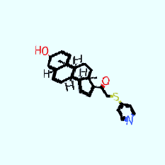 C[C@]12CC[C@@H](O)C[C@H]1CC[C@@H]1[C@@H]2CC[C@]2(C)[C@@H](C(=O)CSc3ccncc3)CC[C@@H]12